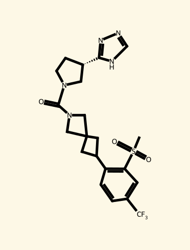 CS(=O)(=O)c1cc(C(F)(F)F)ccc1C1CC2(C1)CN(C(=O)N1CC[C@H](c3nnc[nH]3)C1)C2